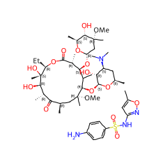 CC[C@H]1OC(=O)[C@H](C)[C@@H](O[C@H]2C[C@@](C)(OC)[C@@H](O)[C@H](C)O2)C(C)[C@@H](O[C@@H]2O[C@H](C)C[C@H](N(C)C)[C@H]2O)[C@](C)(OC)C[C@@H](C)C(=O)[C@H](C)[C@@H](O)[C@]1(C)O.Cc1cc(NS(=O)(=O)c2ccc(N)cc2)no1